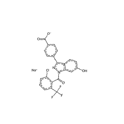 O=C([O-])c1ccc(-c2nn(C(=O)c3c(Cl)cccc3C(F)(F)F)c3cc(O)ccc23)cc1.[Na+]